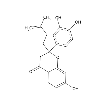 C=C(C)CCC1(c2ccc(O)c(O)c2)CC(=O)C2CC=C(O)C=C2O1